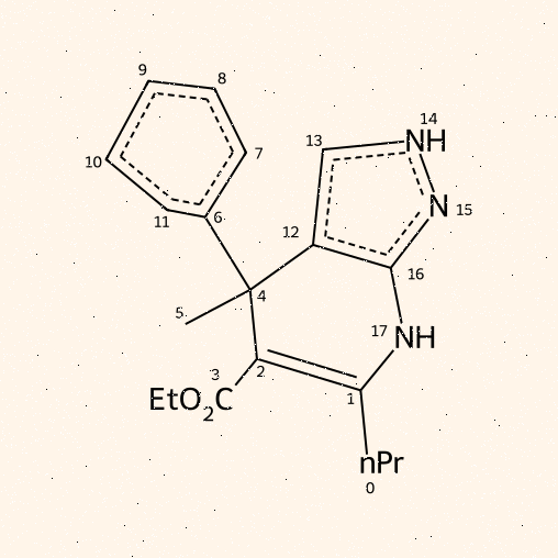 CCCC1=C(C(=O)OCC)C(C)(c2ccccc2)c2c[nH]nc2N1